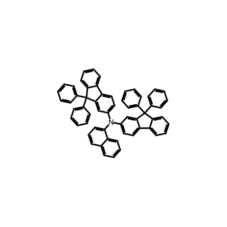 c1ccc(C2(c3ccccc3)c3ccccc3-c3ccc(N(c4ccc5c(c4)C(c4ccccc4)(c4ccccc4)c4ccccc4-5)c4cccc5ccccc45)cc32)cc1